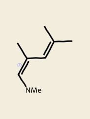 CN/C=C(/C)C=C(C)C